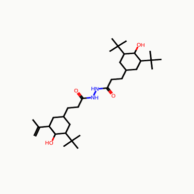 C=C(C)C1CC(CCC(=O)NNC(=O)CCC2CC(C(C)(C)C)C(O)C(C(C)(C)C)C2)CC(C(C)(C)C)C1O